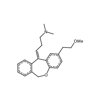 COCCc1ccc2c(c1)/C(=C\CCN(C)C)c1ccccc1CO2